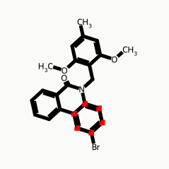 COc1cc(C)cc(OC)c1CN(C(=O)c1ccccc1-c1ccccc1)c1ccc(Br)cc1